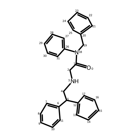 O=C(CNCC(c1ccccc1)c1ccccc1)N(Cc1ccccc1)c1ccccc1